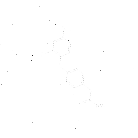 CNC(=O)Nc1ccc(Sc2ccc([N+](=O)[O-])cc2Cl)cc1